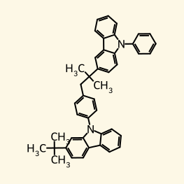 CC(C)(C)c1ccc2c3ccccc3n(-c3ccc(CC(C)(C)c4ccc5c(c4)c4ccccc4n5-c4ccccc4)cc3)c2c1